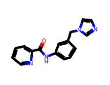 O=C(Nc1cccc(Cn2ccnc2)c1)c1ccccn1